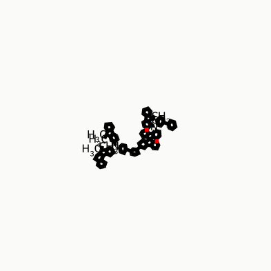 CC1(C)c2ccccc2-c2ccc(N(c3ccc(-c4cccc(-c5ccc6c(c5)-c5ccccc5C65c6ccccc6-c6c(N(c7cccc(-c8ccccc8)c7)c7cccc8c7C(C)(C)c7ccccc7-8)cccc65)c4)cc3)c3ccc4c(c3)C(C)(C)c3ccc5ccccc5c3-4)cc21